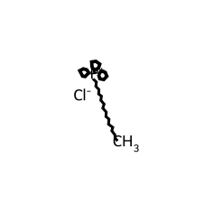 CCCCCCCCCCCCCCCCCC[P+](c1ccccc1)(c1ccccc1)c1ccccc1.[Cl-]